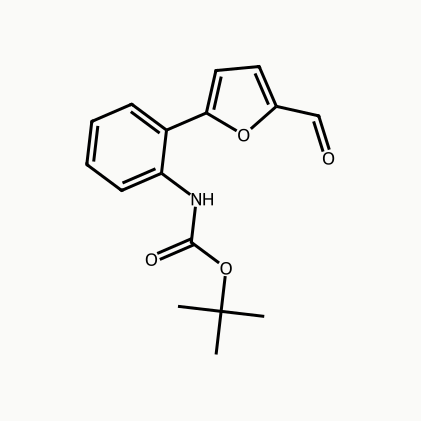 CC(C)(C)OC(=O)Nc1ccccc1-c1ccc(C=O)o1